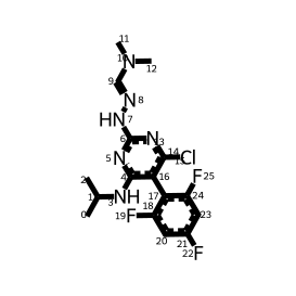 CC(C)Nc1nc(NN=CN(C)C)nc(Cl)c1-c1c(F)cc(F)cc1F